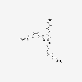 CCCC/C=C\CCOC(CCCCCCBr)OCC/C=C\CCCC